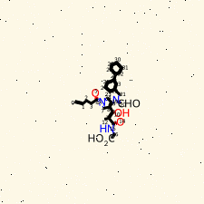 C=CCCC(=O)N1CC(/C(O)=C(\C)C(=O)NCC(=O)O)=C(N(C=O)Cc2cccc(-c3ccccc3)c2)C1